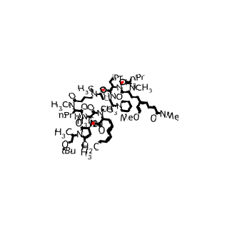 C=C/C=C\C=C\CC(C(=O)N(C)[C@H]1CC(C)N(C(C)COC(C)(C)C)C1=O)N(C)C(=O)C(NC(=O)C(CCC)N(C)C(=O)CCCN(C)C(=O)C[C@H](NC(=O)C(CC(C)C)N(C)C(=O)C(CCC(=C/C=C/C(=O)NC)/C=C/OC)N(C)C(=O)CCC)C(=O)N1CCCCC1)[C@@H](C)CC